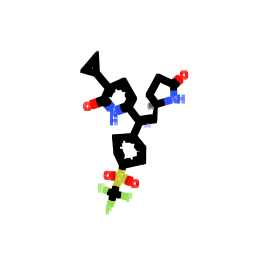 O=C1CC[C@H](/C=C(/c2ccc(S(=O)(=O)C(F)(F)F)cc2)c2ccc(C3CC3)c(=O)[nH]2)N1